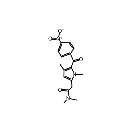 Cc1cc(CC(=O)N(C)C)n(C)c1C(=O)c1ccc([N+](=O)[O-])cc1